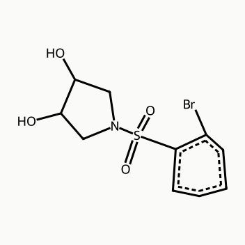 O=S(=O)(c1ccccc1Br)N1CC(O)C(O)C1